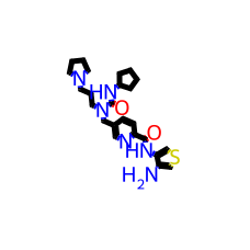 Nc1cscc1NC(=O)c1ccc(CN(CCCN2CCCC2)C(=O)NC2CCCC2)cn1